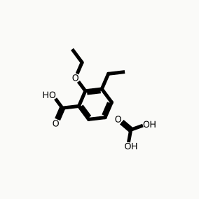 CCOc1c(CC)cccc1C(=O)O.O=C(O)O